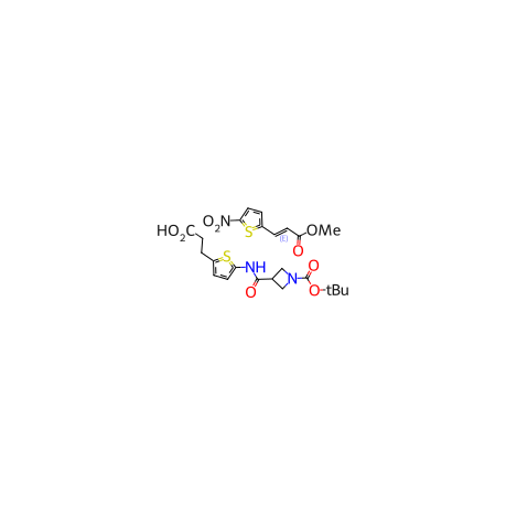 CC(C)(C)OC(=O)N1CC(C(=O)Nc2ccc(CCC(=O)O)s2)C1.COC(=O)/C=C/c1ccc([N+](=O)[O-])s1